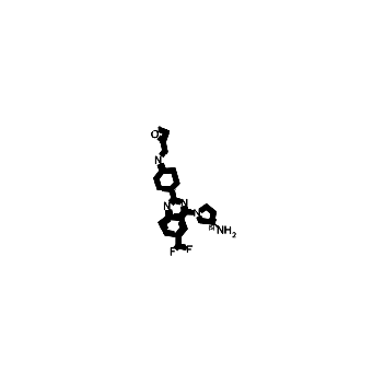 N[C@H]1CCN(c2nc(C3CCC(=NCC4CCO4)CC3)nc3ccc(C(F)F)cc23)C1